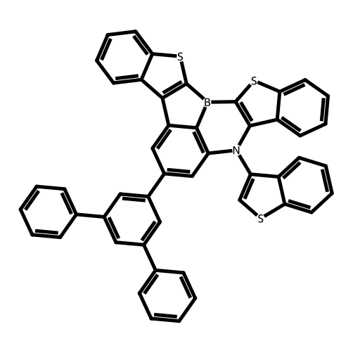 c1ccc(-c2cc(-c3ccccc3)cc(-c3cc4c5c(c3)N(c3csc6ccccc36)c3c(sc6ccccc36)B5c3sc5ccccc5c3-4)c2)cc1